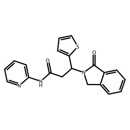 O=C(CC(c1cccs1)N1Cc2ccccc2C1=O)Nc1ccccn1